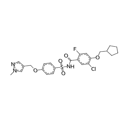 Cn1cc(COc2ccc(S(=O)(=O)NC(=O)c3cc(Cl)c(OCC4CCCC4)cc3F)cc2)cn1